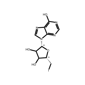 Oc1ncnc2c1ncn2[C@@H]1O[C@H](CI)C(O)C1O